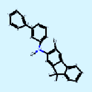 CCc1cc2c(cc1N(c1cccc(-c3ccccc3)c1)C(C)C)C(C)(C)c1ccccc1-2